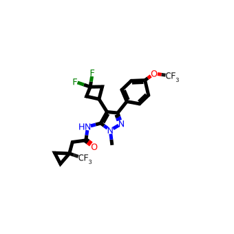 Cn1nc(-c2ccc(OC(F)(F)F)cc2)c(C2CC(F)(F)C2)c1NC(=O)CC1(C(F)(F)F)CC1